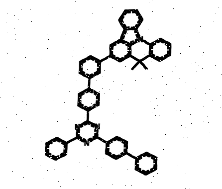 CC1(C)c2ccccc2-n2c3ccccc3c3cc(-c4cccc(-c5ccc(-c6nc(-c7ccccc7)nc(-c7ccc(-c8ccccc8)cc7)n6)cc5)c4)cc1c32